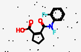 O=C(O)C1=C(C(=O)N(F)c2ccccc2F)CCC1